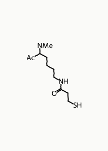 CNC(CCCCNC(=O)CCS)C(C)=O